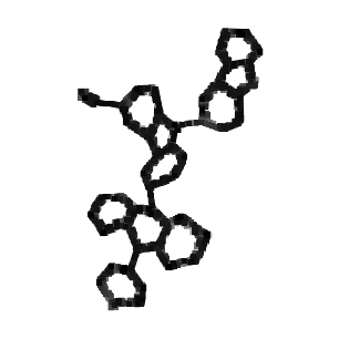 N#Cc1ccc2c(c1)c1cc(-c3c4ccccc4c(-c4ccncc4)c4ccccc34)ccc1n2-c1ccc2sc3ccccc3c2c1